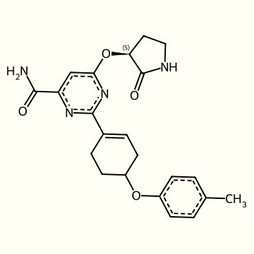 Cc1ccc(OC2CC=C(c3nc(O[C@H]4CCNC4=O)cc(C(N)=O)n3)CC2)cc1